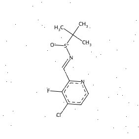 CC(C)(C)[S+]([O-])N=Cc1nccc(Cl)c1F